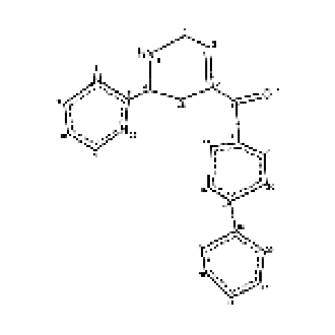 O=C(C1=CCNC(c2ncccn2)C1)c1ccc(-c2ccccc2)cc1